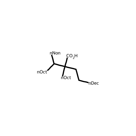 CCCCCCCCCCCCC(CCCCCCCC)(C(=O)O)C(CCCCCCCC)CCCCCCCCC